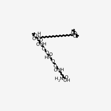 CC(C)(C)OC(=O)[C@H](CCC(=O)NCCOCCOCC(=O)NCCOCCOCC(=O)NCCCC[C@H](N)C(=O)O)NC(=O)CCCCCCCCCCCCCCCCCCP(=O)(OC(C)(C)C)OC(C)(C)C